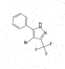 FC(F)(F)c1n[nH]c(-c2ccccc2)c1Br